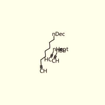 C#CCCCC.C#CCCCCCCC.C#CCCCCCCCCCCCCCCCC